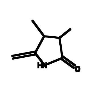 C=C1NC(=O)C(C)C1C